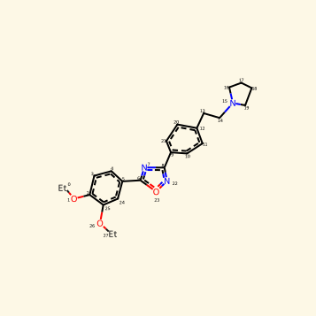 CCOc1ccc(-c2nc(-c3ccc(CCN4CCCC4)cc3)no2)cc1OCC